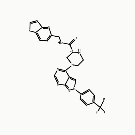 O=C(NCc1ccc2sccc2n1)[C@@H]1CN(c2ncnc3nn(-c4ccc(C(F)(F)F)cc4)cc23)CCN1